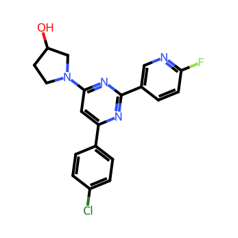 OC1CCN(c2cc(-c3ccc(Cl)cc3)nc(-c3ccc(F)nc3)n2)C1